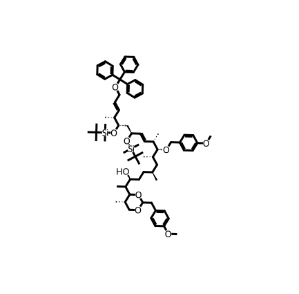 COc1ccc(CO[C@@H]([C@@H](C)C=C[C@H](C[C@H](O[Si](C)(C)C(C)(C)C)[C@H](C)C=CCOC(c2ccccc2)(c2ccccc2)c2ccccc2)O[Si](C)(C)C(C)(C)C)[C@@H](C)C[C@@H](C)CC[C@H](O)C(C)C2OC(Cc3ccc(OC)cc3)OC[C@@H]2C)cc1